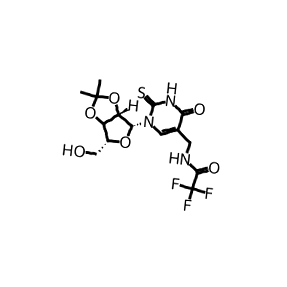 CC1(C)OC2[C@@H](CO)O[C@@H](n3cc(CNC(=O)C(F)(F)F)c(=O)[nH]c3=S)[C@H]2O1